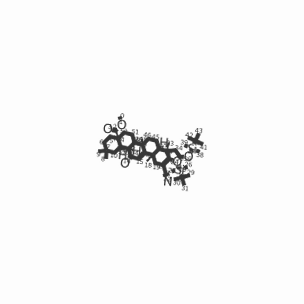 COC(=O)[C@]12CCC(C)(C)C[C@H]1[C@H]1C(=O)C=C3[C@@]4(C)CC(C#N)=C(O[Si](C)(C)C(C)(C)C)[C@@](C)(CCO[Si](C)(C)C(C)(C)C)[C@@H]4CC[C@@]3(C)[C@]1(C)CC2